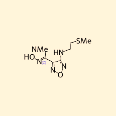 CN/C(=N\O)c1nonc1NCCSC